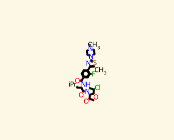 Cc1sc(N2CCN(C)CC2)nc1-c1ccc(C(=O)NC(CC(C)C)C(=O)N2CC(Cl)C3OCC(=O)C32)cc1F